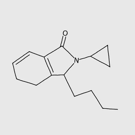 CCCCC1C2=C(C=CCC2)C(=O)N1C1CC1